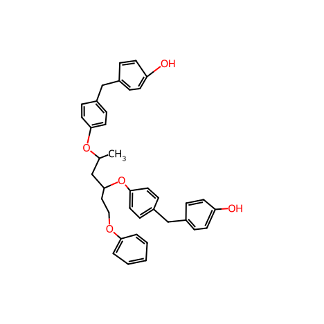 CC(CC(CCOc1ccccc1)Oc1ccc(Cc2ccc(O)cc2)cc1)Oc1ccc(Cc2ccc(O)cc2)cc1